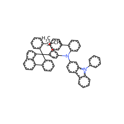 C[Si]1(C)c2ccccc2C2(c3ccccc3-c3cccc4cccc2c34)c2ccc(N(c3ccc4c5ccccc5n(-c5ccccc5)c4c3)c3ccccc3-c3ccccc3)cc21